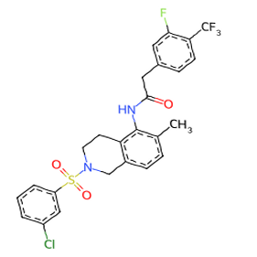 Cc1ccc2c(c1NC(=O)Cc1ccc(C(F)(F)F)c(F)c1)CCN(S(=O)(=O)c1cccc(Cl)c1)C2